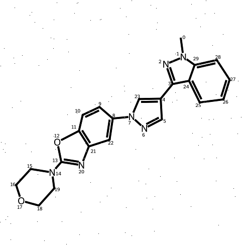 Cn1nc(-c2cnn(-c3ccc4oc(N5CCOCC5)nc4c3)c2)c2ccccc21